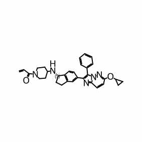 C=CC(=O)N1CCC(N[C@H]2CCc3cc(-c4nc5ccc(OC6CC6)nn5c4-c4ccccc4)ccc32)CC1